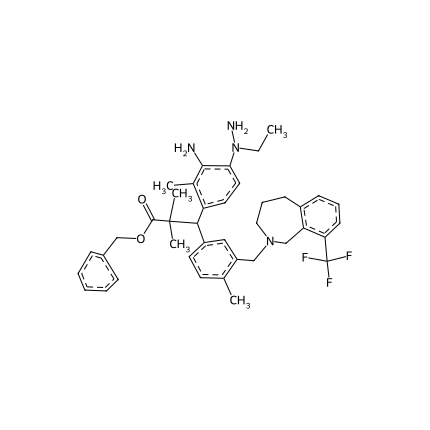 CCN(N)c1ccc(C(c2ccc(C)c(CN3CCCc4cccc(C(F)(F)F)c4C3)c2)C(C)(C)C(=O)OCc2ccccc2)c(C)c1N